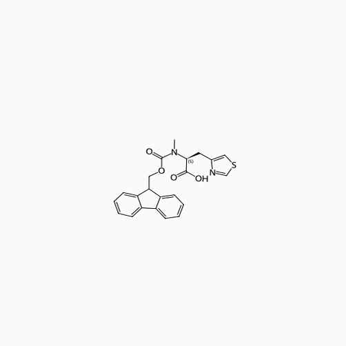 CN(C(=O)OCC1c2ccccc2-c2ccccc21)[C@@H](Cc1cscn1)C(=O)O